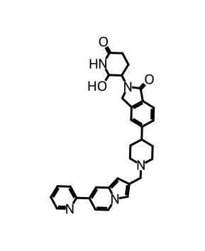 O=C1CCC(N2Cc3cc(C4CCN(Cc5cc6cc(-c7ccccn7)ccn6c5)CC4)ccc3C2=O)C(O)N1